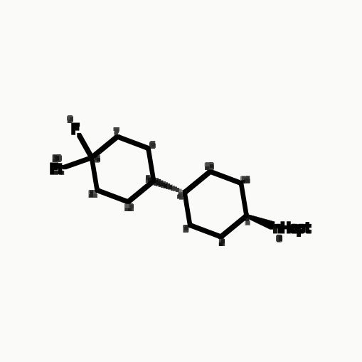 CCCCCCC[C@H]1CC[C@H](C2CCC(F)(CC)CC2)CC1